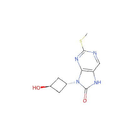 CSc1ncc2[nH]c(=O)n([C@H]3C[C@H](O)C3)c2n1